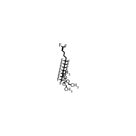 CCO[Si](OCC)(OCC)C(F)(F)C(F)(F)C(F)(F)C(F)(F)C(F)(F)C(F)(F)C(F)(F)CCCC=C(F)F